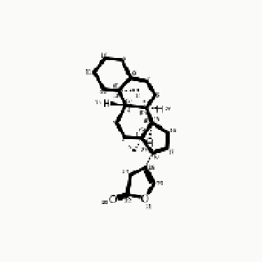 C[C@]12CC[C@H]3[C@@H](CCC4CCCC[C@@]43C)[C@H]1CC[C@@H]2C1=COC(=O)C1